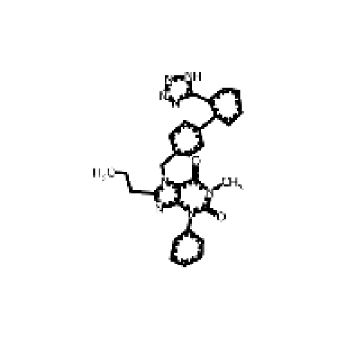 CCCc1nc2c(c(=O)n(C)c(=O)n2-c2ccccc2)n1Cc1ccc(-c2ccccc2-c2nnn[nH]2)cc1